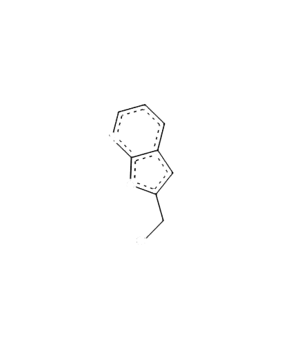 ClCc1cc2cccnc2o1